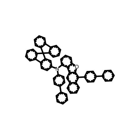 c1ccc(-c2ccc(-c3c4ccccc4cc4c3oc3cccc(N(c5ccc(-c6ccccc6)cc5)c5ccc6c(c5)C5(c7ccccc7-c7ccccc75)c5ccccc5-6)c34)cc2)cc1